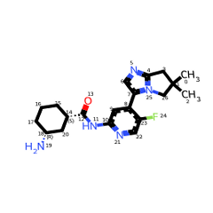 CC1(C)Cc2ncc(-c3cc(NC(=O)[C@H]4CCC[C@@H](N)C4)ncc3F)n2C1